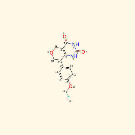 O=c1[nH]c2c(c(=O)[nH]1)COCC2c1ccc(OCF)cc1